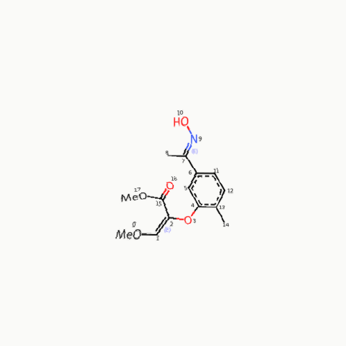 CO/C=C(/Oc1cc(/C(C)=N/O)ccc1C)C(=O)OC